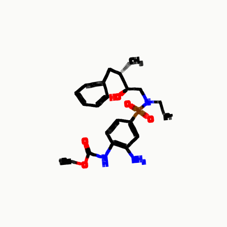 CC(C)CN(C[C@@H](O)[C@@H](C)Cc1ccccc1)S(=O)(=O)c1ccc(NC(=O)OC(C)(C)C)c(N)c1